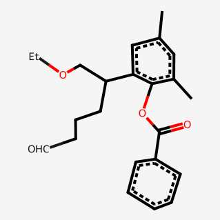 CCOCC(CCCC=O)c1cc(C)cc(C)c1OC(=O)c1ccccc1